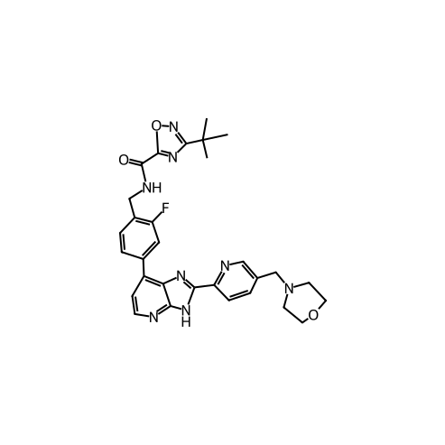 CC(C)(C)c1noc(C(=O)NCc2ccc(-c3ccnc4[nH]c(-c5ccc(CN6CCOCC6)cn5)nc34)cc2F)n1